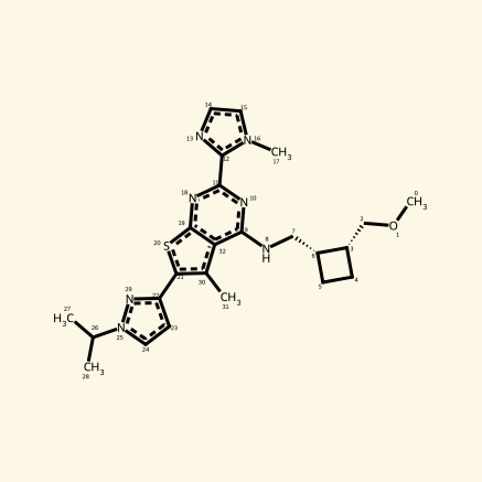 COC[C@@H]1CC[C@@H]1CNc1nc(-c2nccn2C)nc2sc(-c3ccn(C(C)C)n3)c(C)c12